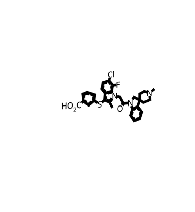 Cc1c(Sc2cccc(C(=O)O)c2)c2ccc(Cl)c(F)c2n1CC(=O)N1CC2(CCN(C)CC2)c2ccccc21